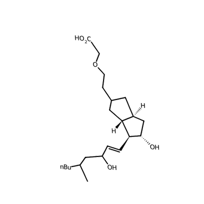 CCCCC(C)CC(O)C=C[C@H]1[C@@H]2CC(CCOCC(=O)O)C[C@H]2C[C@@H]1O